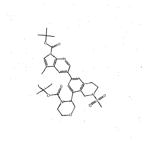 Cc1cn(C(=O)OC(C)(C)C)c2ncc(-c3cc4c(c(C5COCCN5C(=O)OC(C)(C)C)c3)CN(S(C)(=O)=O)CC4)cc12